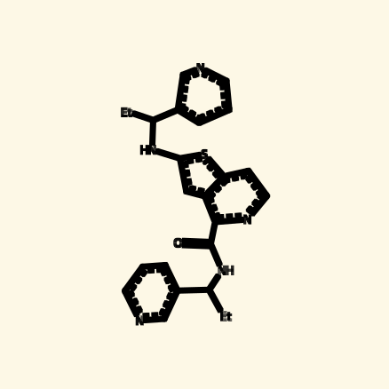 CCC(NC(=O)c1nccc2sc(NC(CC)c3cccnc3)cc12)c1cccnc1